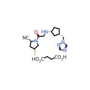 N#C[C@@H]1C[C@H](F)CN1C(=O)CN[C@@H]1CC[C@H](Cn2cncn2)C1.O=C(O)CCC(=O)O